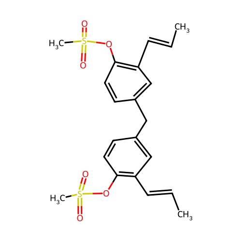 CC=Cc1cc(Cc2ccc(OS(C)(=O)=O)c(C=CC)c2)ccc1OS(C)(=O)=O